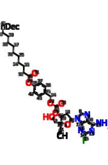 C#C[C@]1(CO)O[C@@H](n2cnc3c(N)nc(F)nc32)C[C@@H]1OC(=O)OCc1ccc(OC(=O)CCCCCCCCCCCCCCCCCCC)cc1